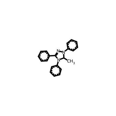 CC1N(c2ccccc2)N=C(c2ccccc2)N1c1ccccc1